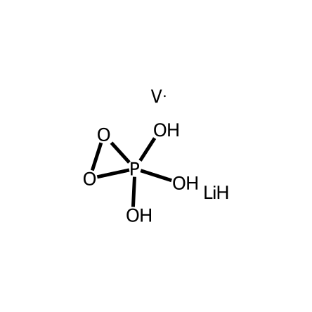 OP1(O)(O)OO1.[LiH].[V]